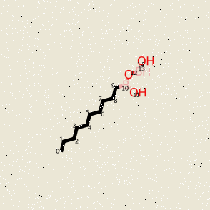 CCCCCCCCCCB(O)OBO